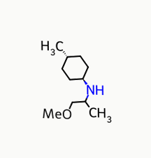 COCC(C)N[C@H]1CC[C@H](C)CC1